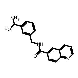 CC(O)c1cccc(CNC(=O)c2ccc3ncccc3c2)c1